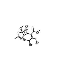 COC(=O)C(=C(CBr)C(Br)Br)C1C2N=C(C)SC2(OC)[NH+]1[O-]